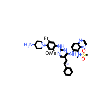 CCc1cc(Nc2ncc(/C=C/c3ccccc3)c(Nc3ccc4nccnc4c3N(C)S(C)(=O)=O)n2)c(OC)cc1N1CCC(N)CC1